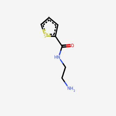 NCCNC(=O)c1c[c]cs1